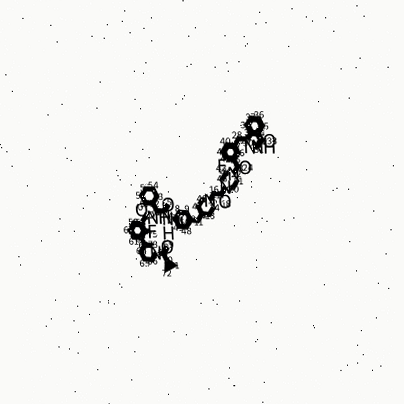 O=C(N[C@@H](C(=O)NC12CCC(CC3CCN(CC(=O)N4CCN(C(=O)c5cc(Cc6n[nH]c(=O)c7ccccc67)ccc5F)CC4)CC3)(CC1)OC2)C1CCCCC1)c1cccc(C2CCCN(C(=O)C3CC3)C2)c1F